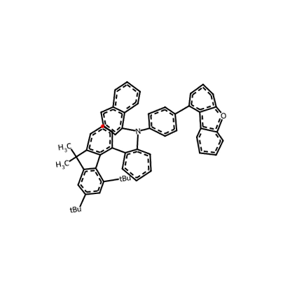 CC(C)(C)c1cc(C(C)(C)C)c2c(c1)C(C)(C)c1cccc(-c3ccccc3N(c3ccc(-c4cccc5oc6ccccc6c45)cc3)c3cccc4ccccc34)c1-2